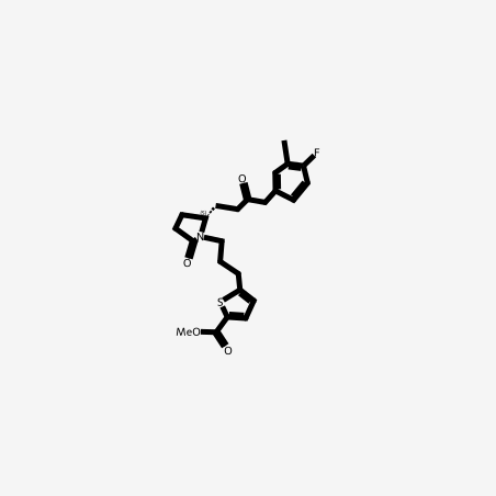 COC(=O)c1ccc(CCCN2C(=O)CC[C@@H]2CCC(=O)Cc2ccc(F)c(C)c2)s1